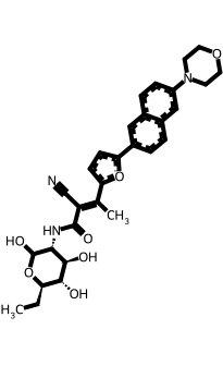 CC[C@H]1OC(O)[C@H](NC(=O)/C(C#N)=C(\C)c2ccc(-c3ccc4cc(N5CCOCC5)ccc4c3)o2)[C@@H](O)[C@@H]1O